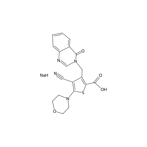 N#Cc1c(N2CCOCC2)sc(C(=O)O)c1Cn1cnc2ccccc2c1=O.[NaH]